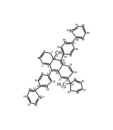 CC12CC=CC=C1C(c1ccc(-c3ccccn3)nc1)=c1cc(C3(C)C=CC=CC3)ccc1=C2c1ccc(-c2ccccn2)nc1